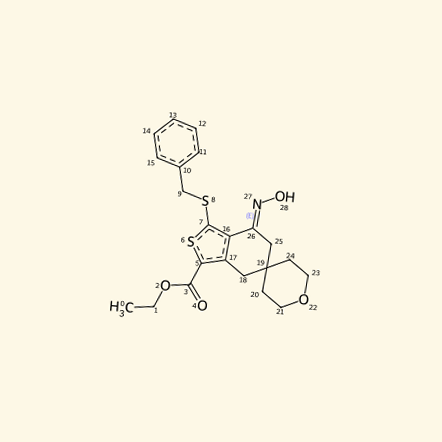 CCOC(=O)c1sc(SCc2ccccc2)c2c1CC1(CCOCC1)C/C2=N\O